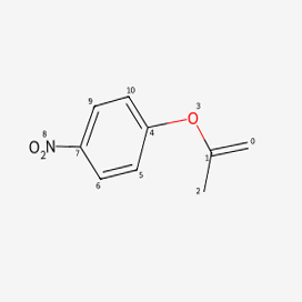 C=C(C)Oc1ccc([N+](=O)[O-])cc1